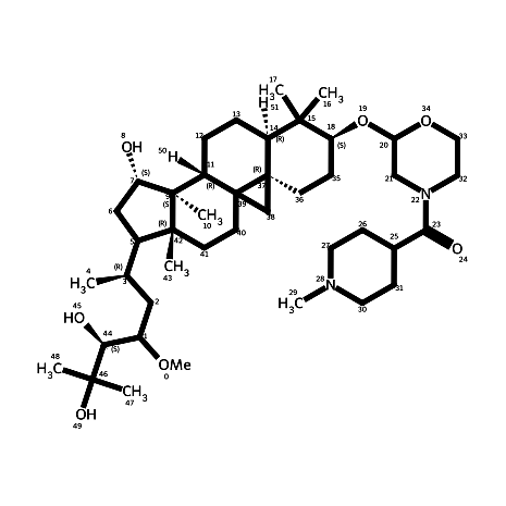 COC(C[C@@H](C)C1C[C@H](O)[C@@]2(C)[C@@H]3CC[C@H]4C(C)(C)[C@@H](OC5CN(C(=O)C6CCN(C)CC6)CCO5)CC[C@@]45CC35CC[C@]12C)[C@H](O)C(C)(C)O